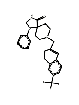 O=C1NCN(c2ccccc2)C12CCN(CC1=Cc3ccc(C(F)(F)F)cc3CC1)CC2